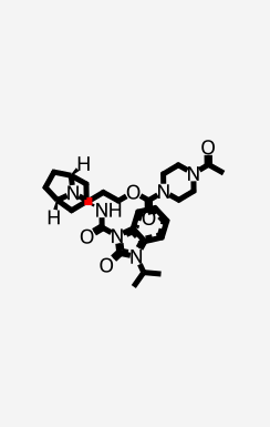 CC(=O)N1CCN(C(=O)OCCCN2[C@@H]3CC[C@H]2C[C@@H](NC(=O)n2c(=O)n(C(C)C)c4ccccc42)C3)CC1